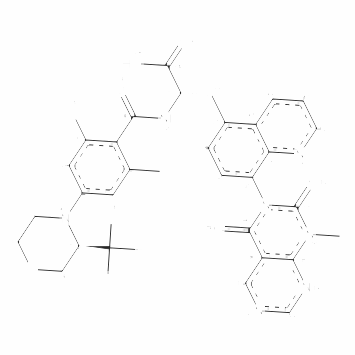 Cc1cc(N2CCOC[C@@H]2C(F)(F)F)cc(F)c1C(=O)N[C@@H](Cc1ccc(-n2c(=O)c3cncnc3n(C)c2=O)c2ncccc12)C(=O)O